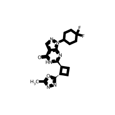 Cc1nnc([C@H]2CC[C@@H]2c2nc3c(cnn3C3CCC(F)(F)CC3)c(=O)[nH]2)o1